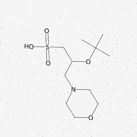 CC(C)(C)OC(CN1CCOCC1)CS(=O)(=O)O